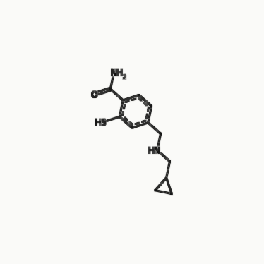 NC(=O)c1ccc(CNCC2CC2)cc1S